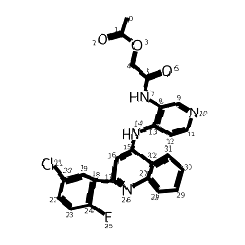 CC(=O)OCC(=O)Nc1cnccc1Nc1cc(-c2cc(Cl)ccc2F)nc2ccccc12